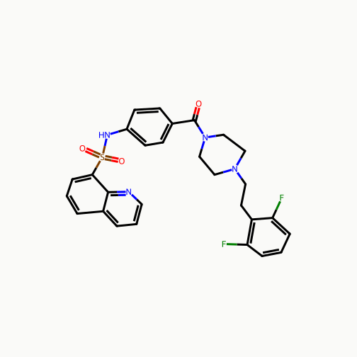 O=C(c1ccc(NS(=O)(=O)c2cccc3cccnc23)cc1)N1CCN(CCc2c(F)cccc2F)CC1